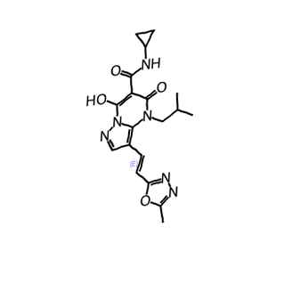 Cc1nnc(/C=C/c2cnn3c(O)c(C(=O)NC4CC4)c(=O)n(CC(C)C)c23)o1